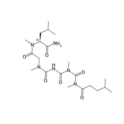 CC(C)CCC(=O)N(C)C(=O)N(C)C(=O)NC(=O)N(C)CC(=O)N(C)[C@@H](CC(C)C)C(N)=O